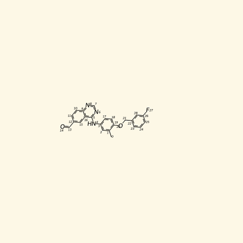 Cc1cc(Nc2ncnc3ccc(C=O)cc23)ccc1OCc1cccc(F)c1